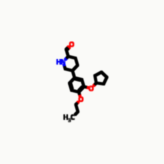 CCCOc1ccc(C2CCC(C=O)NC2)cc1OC1CCCC1